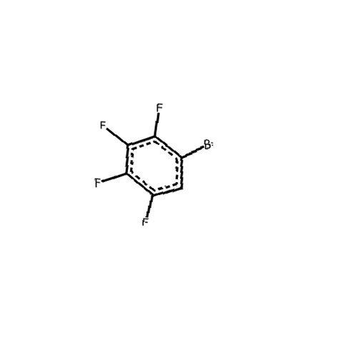 [B]c1cc(F)c(F)c(F)c1F